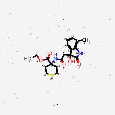 CCOC(=O)C1(NC(=O)CC2(O)C(=O)Nc3c(C)cccc32)CCSCC1